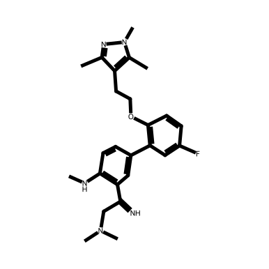 CNc1ccc(-c2cc(F)ccc2OCCc2c(C)nn(C)c2C)cc1C(=N)CN(C)C